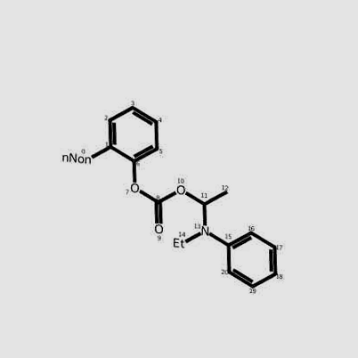 CCCCCCCCCc1ccccc1OC(=O)OC(C)N(CC)c1ccccc1